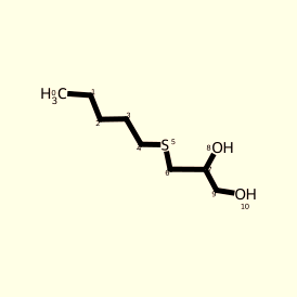 CCCCCSCC(O)CO